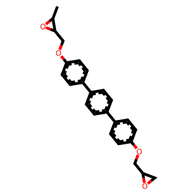 CC1OC1COc1ccc(-c2ccc(-c3ccc(OCC4CO4)cc3)cc2)cc1